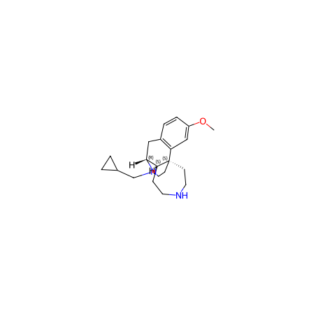 COc1ccc2c(c1)[C@]13CCNCC[C@@H]1[C@@H](C2)N(CC1CC1)CC3